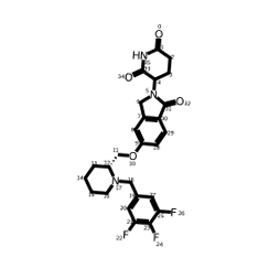 O=C1CCC(N2Cc3cc(OC[C@H]4CCCCN4Cc4cc(F)c(F)c(F)c4)ccc3C2=O)C(=O)N1